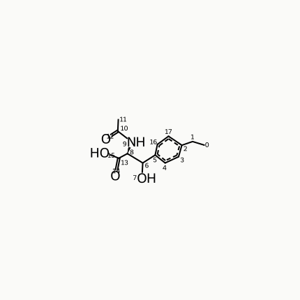 CCc1ccc(C(O)[C@H](NC(C)=O)C(=O)O)cc1